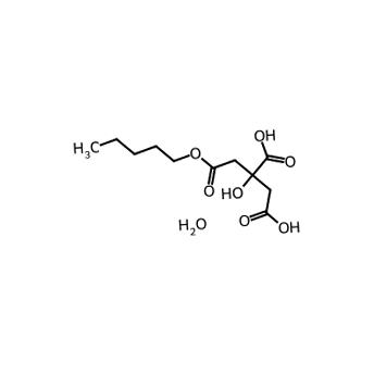 CCCCCOC(=O)CC(O)(CC(=O)O)C(=O)O.O